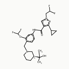 CC(C)(O)[C@H]1CCCN(Cc2ccc(NC(=O)c3cn(CC(F)F)nc3C3CC3)cc2OC(F)F)C1